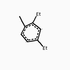 CCc1[c]cc(C)c(CC)[c]1